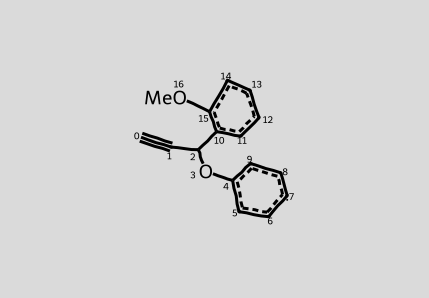 C#CC(Oc1cc[c]cc1)c1ccccc1OC